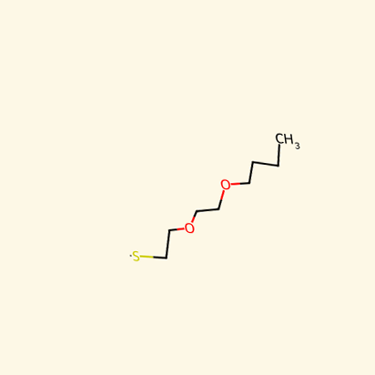 CCCCOCCOCC[S]